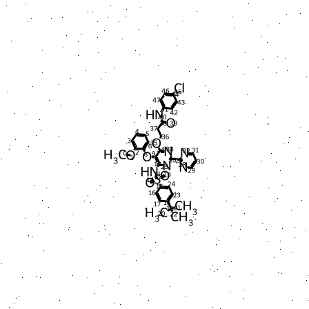 COc1ccccc1Oc1c(NS(=O)(=O)c2ccc(C(C)(C)C)cc2)nc(-c2ncccn2)nc1OCCC(=O)Nc1ccc(Cl)cc1